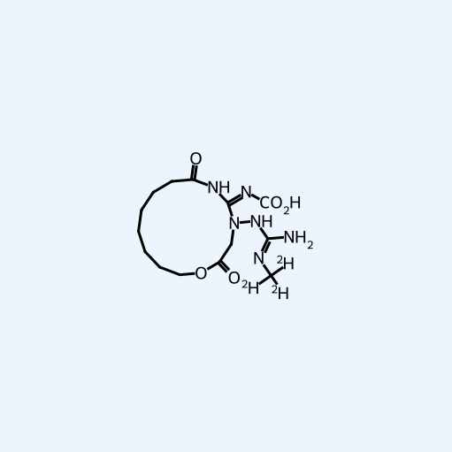 [2H]C([2H])([2H])N=C(N)NN1CC(=O)OCCCCCCCC(=O)NC1=NC(=O)O